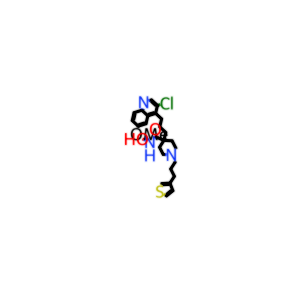 COc1ccc2ncc(Cl)c(CCCC3(C(=O)NO)CCN(CCCc4ccsc4)CC3)c2c1